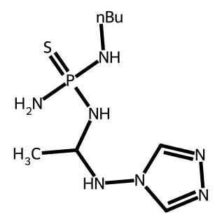 CCCCNP(N)(=S)NC(C)Nn1cnnc1